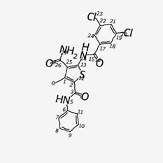 Cc1c(C(=O)Nc2ccccc2)sc(NC(=O)c2cc(Cl)cc(Cl)c2)c1C(N)=O